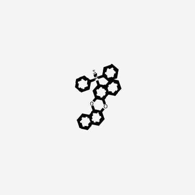 S=P(c1ccccc1)(c1ccccc1)c1cc2c(c3ccccc13)Oc1ccc3ccccc3c1O2